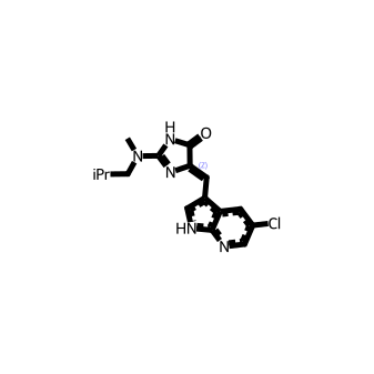 CC(C)CN(C)C1=N/C(=C\c2c[nH]c3ncc(Cl)cc23)C(=O)N1